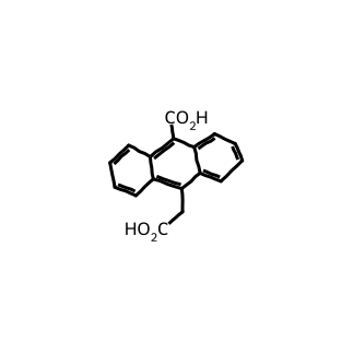 O=C(O)Cc1c2ccccc2c(C(=O)O)c2ccccc12